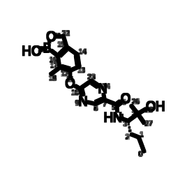 CCC[C@H](NC(=O)c1cnc(Oc2ccc3c(c2C)B(O)OC3)cn1)C(C)(C)O